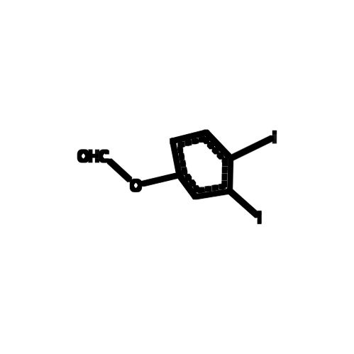 O=COc1ccc(I)c(I)c1